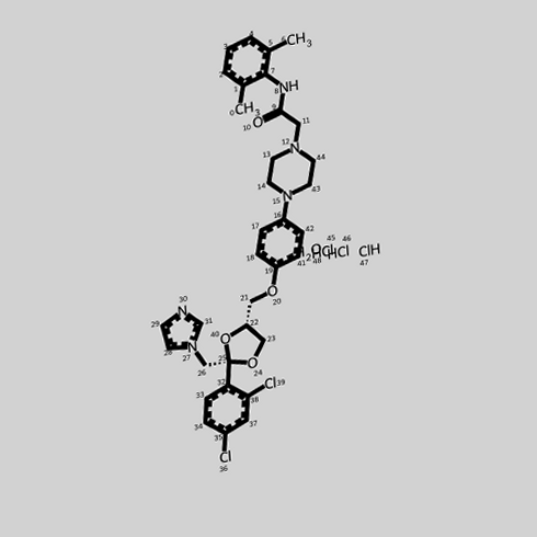 Cc1cccc(C)c1NC(=O)CN1CCN(c2ccc(OC[C@@H]3CO[C@@](Cn4ccnc4)(c4ccc(Cl)cc4Cl)O3)cc2)CC1.Cl.Cl.Cl.O